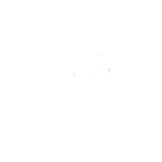 FC1(F)CC(F)(OC2CCCC2)C(F)(Cl)C1(F)F